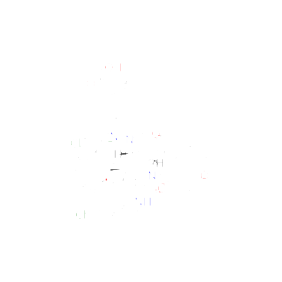 O=C(O)c1ccc2c3n(nc2c1)[C@@H]1[C@H](CO3)N(CC2CCCOC2)[C@@]2(C(=O)Nc3cc(Cl)ccc32)[C@H]1c1cccc(Cl)c1F